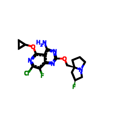 Nc1nc(OC[C@@]23CCCN2C[C@H](F)C3)nc2c(F)c(Cl)nc(OC3CC3)c12